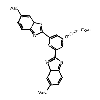 COC1=CC2N=C(c3cccc(C4=NC5C=C(OC)C=CC5=N4)n3)N=C2C=C1.[Cl-].[Cl-].[Cl-].[Co+3]